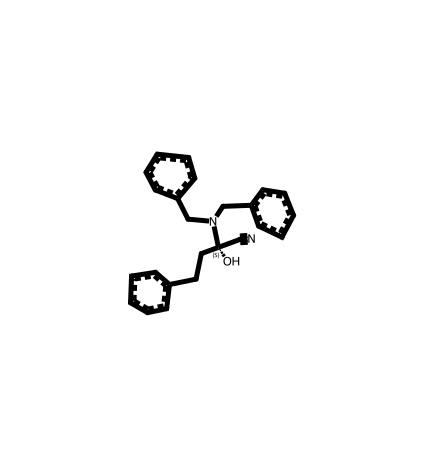 N#C[C@@](O)(CCc1ccccc1)N(Cc1ccccc1)Cc1ccccc1